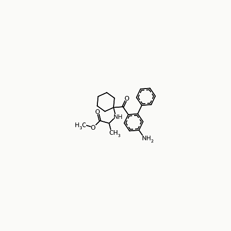 COC(=O)C(C)NC1(C(=O)c2ccc(N)cc2-c2ccccc2)CCCCC1